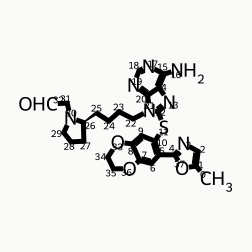 Cc1cnc(-c2cc3c(cc2Sc2nc4c(N)ncnc4n2CCCC[C@H]2CCCN2CC=O)OCCO3)o1